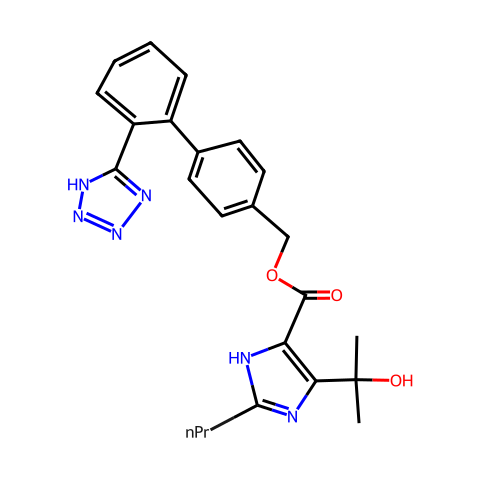 CCCc1nc(C(C)(C)O)c(C(=O)OCc2ccc(-c3ccccc3-c3nnn[nH]3)cc2)[nH]1